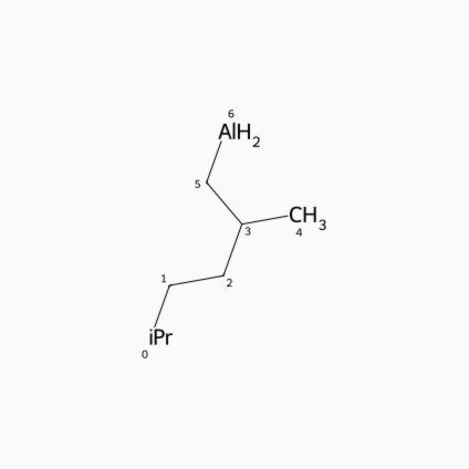 CC(C)CCC(C)[CH2][AlH2]